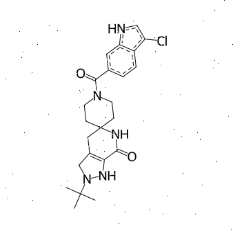 CC(C)(C)N1CC2=C(N1)C(=O)NC1(CCN(C(=O)c3ccc4c(Cl)c[nH]c4c3)CC1)C2